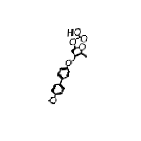 COc1ccc(-c2ccc(OCc3cc(OC(=O)O)oc3C)cc2)cc1